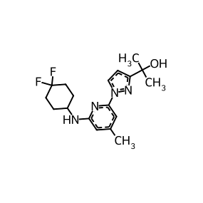 Cc1cc(NC2CCC(F)(F)CC2)nc(-n2ccc(C(C)(C)O)n2)c1